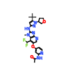 CC(=O)Nc1cc(Oc2cnc3nc(Nc4cc(C(C)(C)C)n(C5CCOC5)n4)n(C)c3c2C(F)F)ccn1